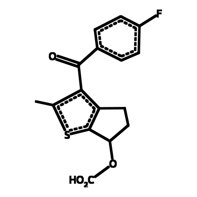 Cc1sc2c(c1C(=O)c1ccc(F)cc1)CCC2OC(=O)O